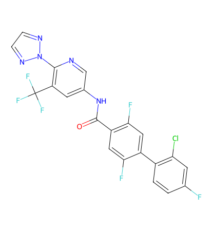 O=C(Nc1cnc(-n2nccn2)c(C(F)(F)F)c1)c1cc(F)c(-c2ccc(F)cc2Cl)cc1F